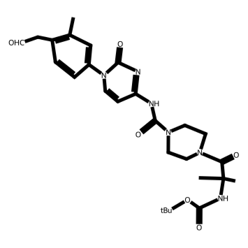 Cc1cc(-n2ccc(NC(=O)N3CCN(C(=O)C(C)(C)NC(=O)OC(C)(C)C)CC3)nc2=O)ccc1CC=O